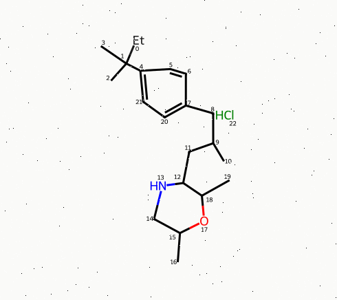 CCC(C)(C)c1ccc(CC(C)CC2NCC(C)OC2C)cc1.Cl